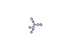 c1ccc(-c2ccc3nc(-c4cc(-c5ccc(-c6ccccn6)cc5)cc(-c5ccc(-c6ccccn6)cc5)c4)nc(-c4ccccc4)c3c2)cc1